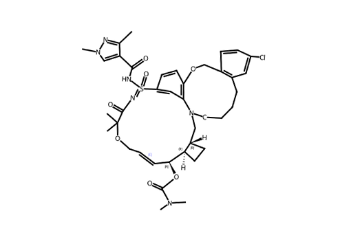 Cc1nn(C)cc1C(=O)NS1(=O)=NC(=O)C(C)(C)OC/C=C/[C@H](OC(=O)N(C)C)[C@@H]2CC[C@H]2CN2CCCCc3cc(Cl)ccc3COc3ccc1cc32